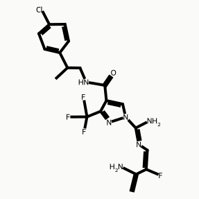 C=C(N)/C(F)=C\N=C(/N)n1cc(C(=O)NCC(C)c2ccc(Cl)cc2)c(C(F)(F)F)n1